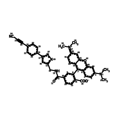 CN(C)c1ccc2c(-c3cc(C(=O)NCc4cn(-c5ccc(C#CC#N)cc5)nn4)ccc3C(=O)[O-])c3ccc(=[N+](C)C)cc-3oc2c1